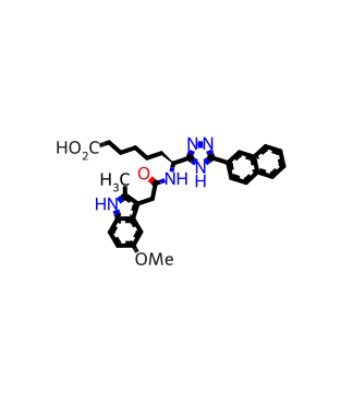 COc1ccc2[nH]c(C)c(CC(=O)N[C@@H](CCCCCC(=O)O)c3nnc(-c4ccc5ccccc5c4)[nH]3)c2c1